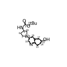 CC(C)(C)OC(=O)NC1CCN(c2cnc3ccc(O)cc3c2)C1